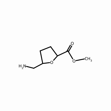 COC(=O)C1CCC(CN)O1